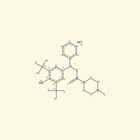 CN1CCN(C(=S)SC(c2ccccc2)c2cc(C(C)(C)C)c(O)c(C(C)(C)C)c2)CC1.Cl